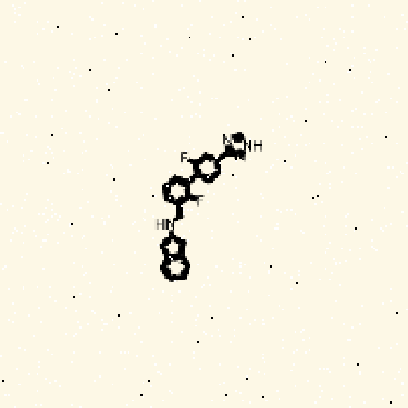 Fc1cc(-c2nc[nH]n2)ccc1-c1cccc(CNC2Cc3ccccc3C2)c1F